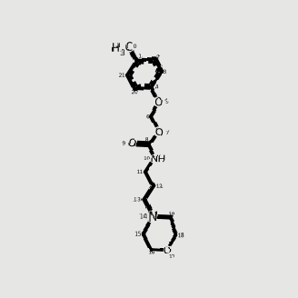 Cc1ccc(OCOC(=O)NCCCN2CCOCC2)cc1